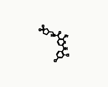 CC(C)c1nc(Nc2ccc(Cl)cc2Cl)ccc1C(=O)NCC1CCS(=O)(=O)C1